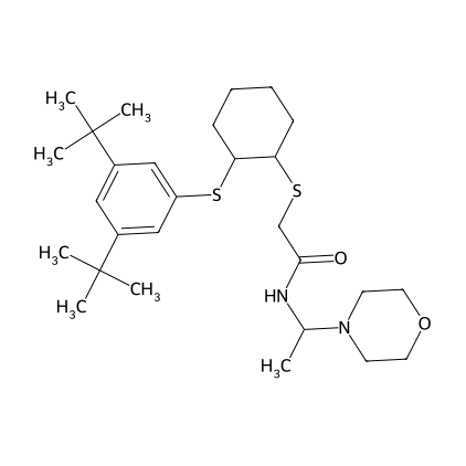 CC(NC(=O)CSC1CCCCC1Sc1cc(C(C)(C)C)cc(C(C)(C)C)c1)N1CCOCC1